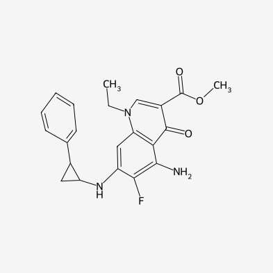 CCn1cc(C(=O)OC)c(=O)c2c(N)c(F)c(NC3CC3c3ccccc3)cc21